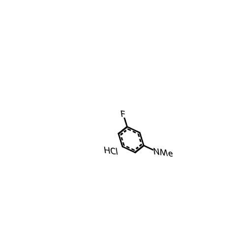 CNc1cccc(F)c1.Cl